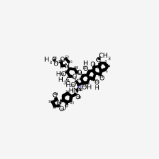 COc1cccc2c1C(=O)c1c(O)c3c(c(O)c1C2=O)C[C@@](O)(/C(CO)=N/NC(=O)c1ccc(N2C(=O)C=CC2=O)c(F)c1)C[C@@H]3O[C@H]1CC(N2CCO[C@@H](OC)C2)[C@H](O)[C@H](C)O1